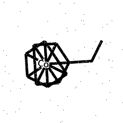 CC[C]12[CH]3[CH]4[CH]5[CH]1[Co]45321678[CH]2[CH]1[CH]6[CH]7[CH]28